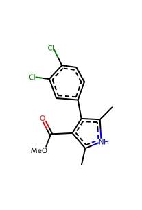 COC(=O)c1c(C)[nH]c(C)c1-c1ccc(Cl)c(Cl)c1